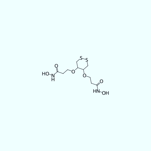 O=C(CCOC1CSSCC1OCCC(=O)NO)NO